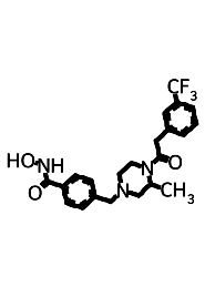 CC1CN(Cc2ccc(C(=O)NO)cc2)CCN1C(=O)Cc1cccc(C(F)(F)F)c1